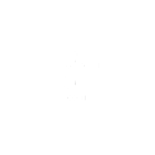 Cc1cc(OC(=O)OCCl)ccc1C(=O)O